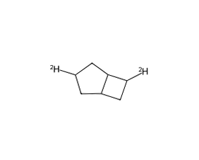 [2H]C1CC2CC([2H])C2C1